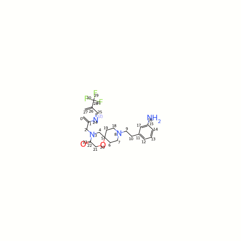 C=C(CN1CC2(CCN(CCc3cccc(N)c3)CC2)OCC1=O)/N=C\C(=C)C(F)(F)F